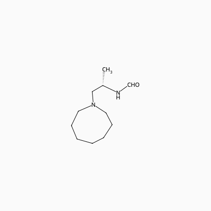 C[C@@H](CN1CCCCCCC1)NC=O